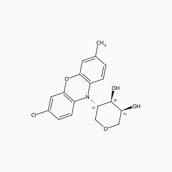 Cc1ccc2c(c1)Oc1cc(Cl)ccc1N2[C@H]1COC[C@H](O)[C@@H]1O